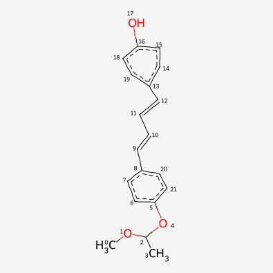 COC(C)Oc1ccc(C=CC=Cc2ccc(O)cc2)cc1